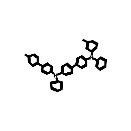 Cc1ccc(-c2ccc(N(c3ccccc3)c3ccc(-c4ccc(N(c5ccccc5)c5cccc(C)c5)cc4)cc3)cc2)cc1